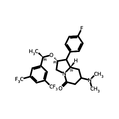 C[C@@H](O[C@H]1CN2C(=O)CC(N(C)C)C[C@H]2C1c1ccc(F)cc1)c1cc(C(F)(F)F)cc(C(F)(F)F)c1